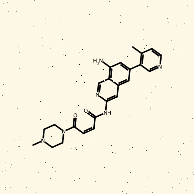 Cc1ccncc1-c1cc(N)c2cnc(NC(=O)/C=C\C(=O)N3CCN(C)CC3)cc2c1